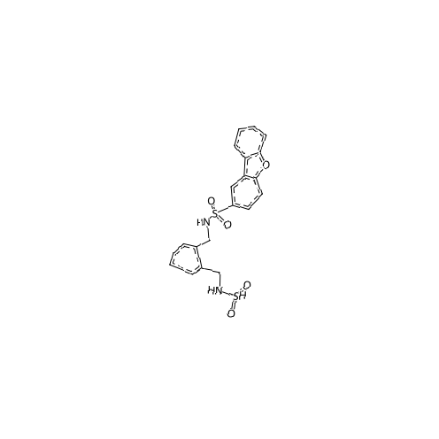 O=[SH](=O)NCc1ccccc1CNS(=O)(=O)c1ccc2oc3ccccc3c2c1